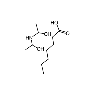 CC(O)NC(C)O.CCCCCCC(=O)O